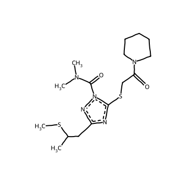 CSC(C)Cc1nc(SCC(=O)N2CCCCC2)n(C(=O)N(C)C)n1